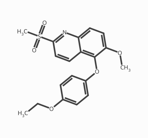 CCOc1ccc(Oc2c(OC)ccc3nc(S(C)(=O)=O)ccc23)cc1